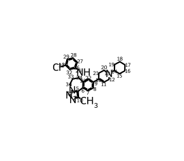 Cc1nnn2c1-c1ccc(C3=CCN(C4CCCCC4)CC3)cc1C(Nc1cccc(Cl)c1)CC2